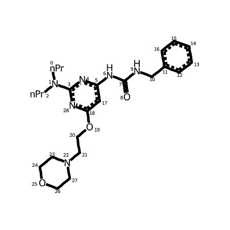 CCCN(CCC)c1nc(NC(=O)NCc2ccccc2)cc(OCCN2CCOCC2)n1